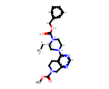 CC(C)(C)OC(=O)N1CCc2c(ncnc2N2CCN(C(=O)OCc3ccccc3)[C@@H](CC#N)C2)C1